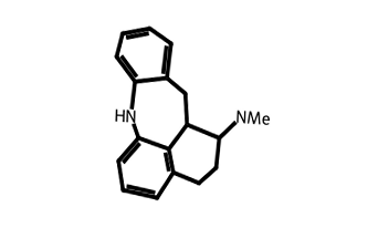 CNC1CCc2cccc3c2C1Cc1ccccc1N3